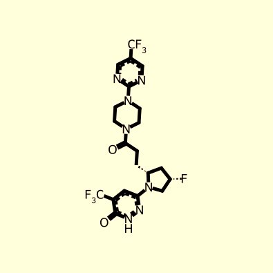 O=C(CC[C@@H]1C[C@H](F)CN1c1cc(C(F)(F)F)c(=O)[nH]n1)N1CCN(c2ncc(C(F)(F)F)cn2)CC1